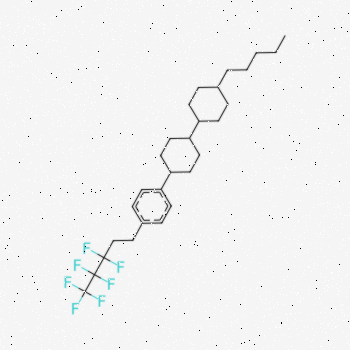 CCCCCC1CCC(C2CCC(c3ccc(CCC(F)(F)C(F)(F)C(F)(F)F)cc3)CC2)CC1